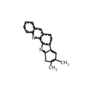 CC1=C(C)C=C2C(=Nc3c2ccc2cc4ccccc4nc32)[C]1